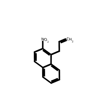 C=CCc1c([N+](=O)[O-])ccc2ccccc12